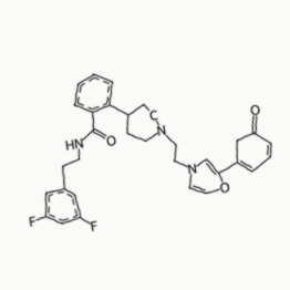 O=C1C=CC=C(C2=CN(CCN3CCC(c4ccccc4C(=O)NCCc4cc(F)cc(F)c4)CC3)C=CO2)C1